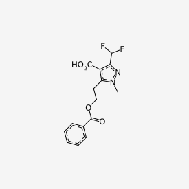 Cn1nc(C(F)F)c(C(=O)O)c1CCOC(=O)c1ccccc1